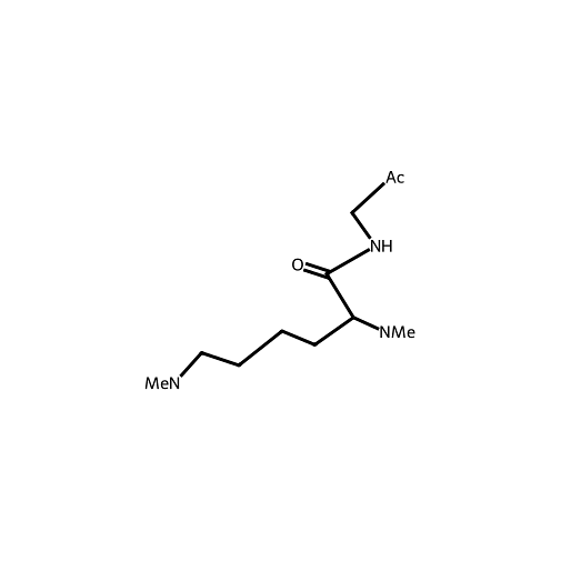 CNCCCCC(NC)C(=O)NCC(C)=O